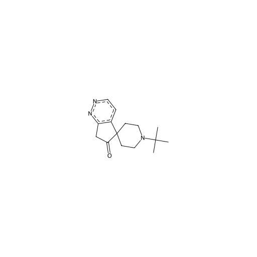 CC(C)(C)N1CCC2(CC1)C(=O)Cc1nnccc12